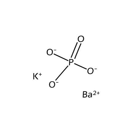 O=P([O-])([O-])[O-].[Ba+2].[K+]